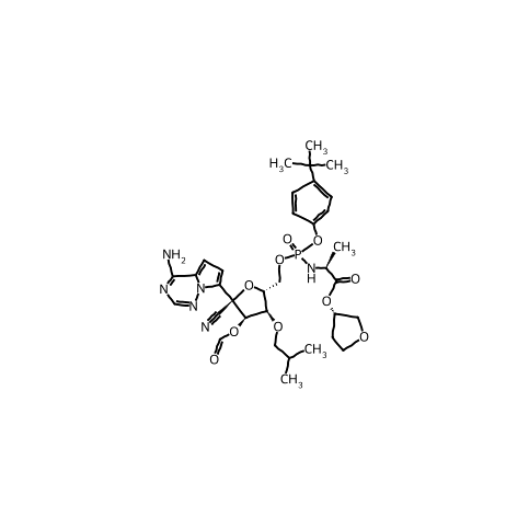 CC(C)CO[C@H]1[C@@H](OC=O)[C@](C#N)(c2ccc3c(N)ncnn23)O[C@@H]1COP(=O)(N[C@@H](C)C(=O)O[C@H]1CCOC1)Oc1ccc(C(C)(C)C)cc1